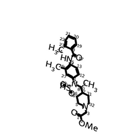 COC(=O)CN1CCC([C@@H](C)N(c2ccc(NC(=O)c3ccccc3C)c(C)c2)[SH](=O)=O)CC1